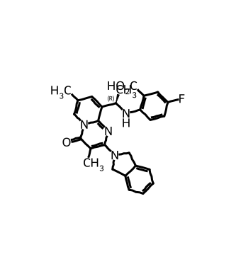 Cc1cc([C@@H](C)Nc2ccc(F)cc2C(=O)O)c2nc(N3Cc4ccccc4C3)c(C)c(=O)n2c1